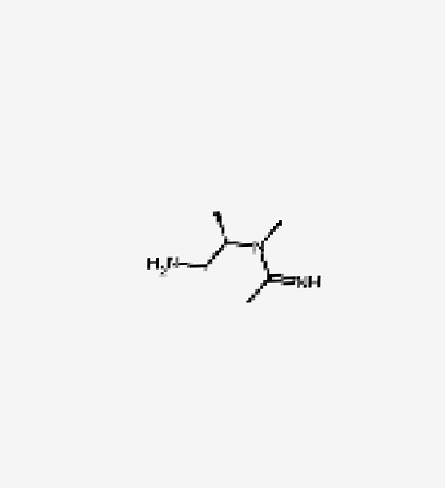 CC(=N)N(C)[C@H](C)CN